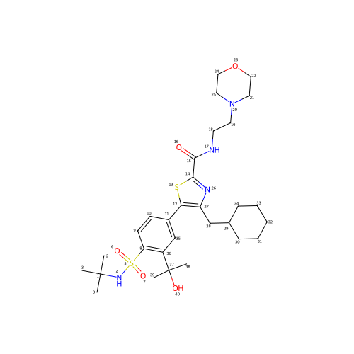 CC(C)(C)NS(=O)(=O)c1ccc(-c2sc(C(=O)NCCN3CCOCC3)nc2CC2CCCCC2)cc1C(C)(C)O